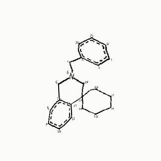 c1ccc(CN2Cc3ccccc3C3(CCCCC3)C2)cc1